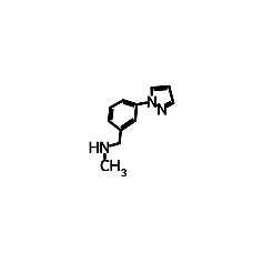 CNCc1cccc(-n2cccn2)c1